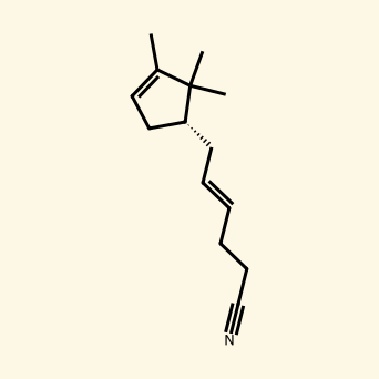 CC1=CC[C@@H](C/C=C/CCC#N)C1(C)C